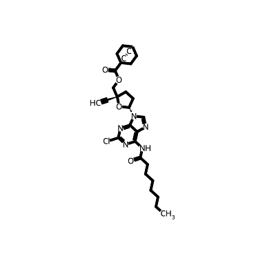 C#C[C@@]1(COC(=O)C23CCC(CC2)CC3)CC[C@H](n2cnc3c(NC(=O)CCCCCCC)nc(Cl)nc32)O1